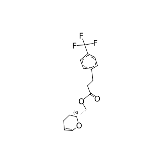 O=C(CCc1ccc(C(F)(F)F)cc1)OC[C@H]1CCC=CO1